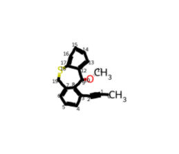 CC#Cc1cccc2c1C(OC)c1ccccc1SC2